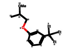 CCC(CC)(CC)c1cccc(OCC(C)OC)c1